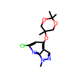 Cn1ncc2c(OC3(C)COC(C)(C)OC3)cc(Cl)nc21